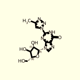 Cc1cn(-c2nc3c(ncn3[C@@H]3O[C@H](CO)C(O)[C@@H]3O)c(=O)[nH]2)nn1